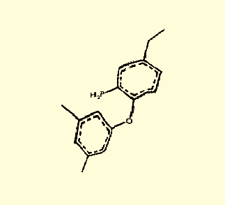 CCc1ccc(Oc2cc(C)cc(C)c2)c(P)c1